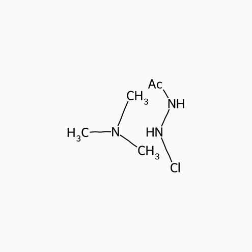 CC(=O)NNCl.CN(C)C